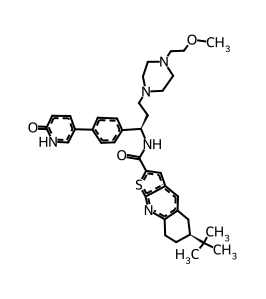 COCCN1CCN(CC[C@@H](NC(=O)c2cc3cc4c(nc3s2)CC[C@H](C(C)(C)C)C4)c2ccc(-c3ccc(=O)[nH]c3)cc2)CC1